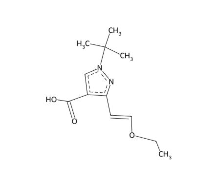 CCOC=Cc1nn(C(C)(C)C)cc1C(=O)O